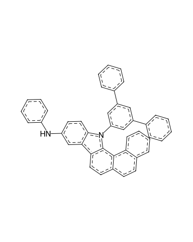 c1ccc(Nc2ccc3c(c2)c2ccc4ccc5ccccc5c4c2n3-c2cc(-c3ccccc3)cc(-c3ccccc3)c2)cc1